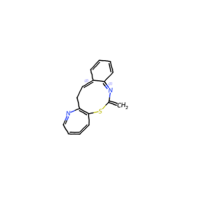 C=C1/N=c2/cccc/c2=C/CC2=C(C=C=CC=N2)S1